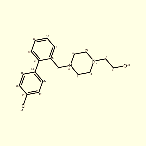 [O]CCN1CCN(Cc2ccccc2-c2ccc(Cl)cc2)CC1